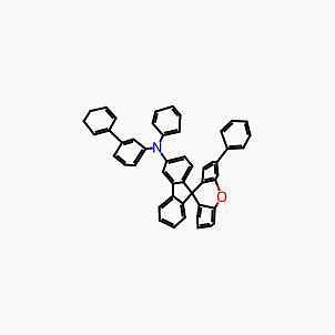 C1=CC(c2cccc(N(c3ccccc3)c3ccc4c(c3)-c3ccccc3C43c4ccccc4Oc4cc(-c5ccccc5)ccc43)c2)=CCC1